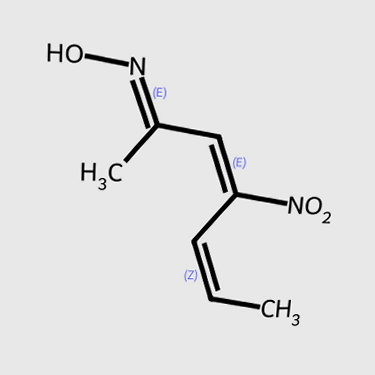 C\C=C/C(=C\C(C)=N\O)[N+](=O)[O-]